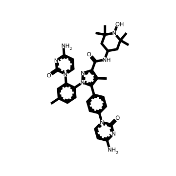 Cc1ccc(-n2nc(C(=O)NC3CC(C)(C)N(O)C(C)(C)C3)c(C)c2-c2ccc(-n3ccc(N)nc3=O)cc2)c(-n2ccc(N)nc2=O)c1